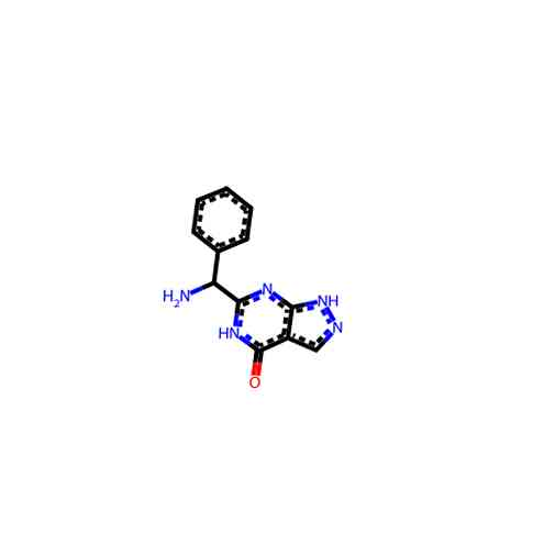 NC(c1ccccc1)c1nc2[nH]ncc2c(=O)[nH]1